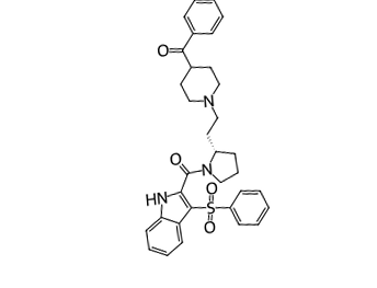 O=C(c1ccc(F)cc1)C1CCN(CC[C@@H]2CCCN2C(=O)c2[nH]c3ccccc3c2S(=O)(=O)c2ccccc2)CC1